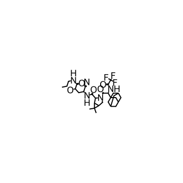 CC1CNC(=O)C(CC(C#N)NC(=O)C2C3C(CN2C(=O)C(NC(=O)C(F)(F)F)C24CC5CC(CC(C5)C2)C4)C3(C)C)O1